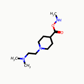 CNOC(=O)C1CCN(CCN(C)C)CC1